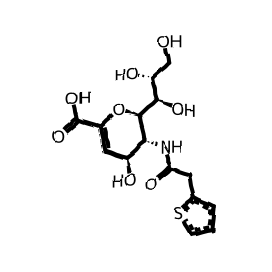 O=C(Cc1cccs1)N[C@H]1[C@H]([C@H](O)[C@H](O)CO)OC(C(=O)O)=C[C@@H]1O